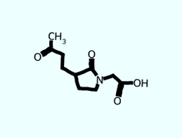 CC(=O)CCC1CCN(CC(=O)O)C1=O